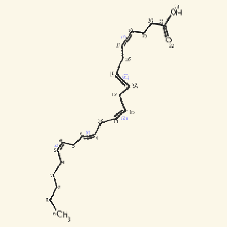 CCCCC/C=C\C/C=C/C/C=C\C/C=C/C/C=C\CCC(=O)O